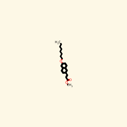 CCCCCCCCOc1ccc2cc(/C=C/C(=O)OC)ccc2c1